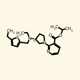 CCc1ccc(CN(CC)[C@H]2CCN(c3ncccc3C(=O)OC(C)C)C2)s1